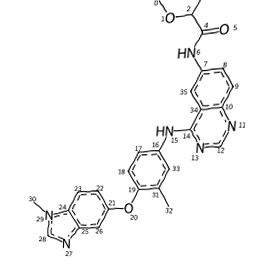 COC(C)C(=O)Nc1ccc2ncnc(Nc3ccc(Oc4ccc5c(c4)ncn5C)c(C)c3)c2c1